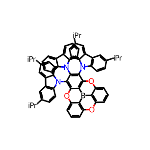 CC(C)c1ccc2c(c1)c1cc(C(C)C)ccc1n2-c1c2c3c(c(-n4c5ccc(C(C)C)cc5c5cc(C(C)C)ccc54)c1-n1c4ccccc4c4ccccc41)Oc1cccc4c1B3c1c(cccc1O2)O4